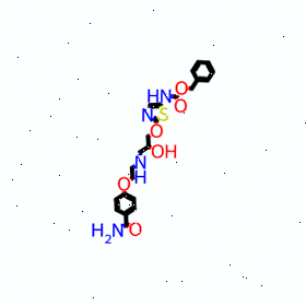 NC(=O)c1ccc(OCCNCC(O)COc2ncc(NC(=O)OCc3ccccc3)s2)cc1